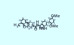 COc1ccc(OC)c(-c2ccc3c(NC(=O)N4CCN(c5cccc(C)c5C)CC4)n[nH]c3c2)c1